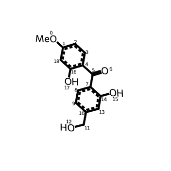 COc1ccc(C(=O)c2ccc(CO)cc2O)c(O)c1